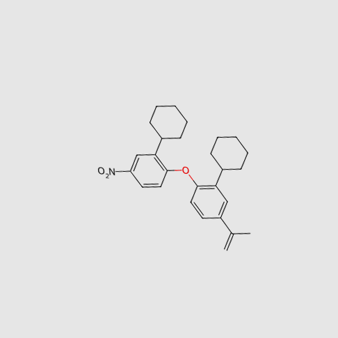 C=C(C)c1ccc(Oc2ccc([N+](=O)[O-])cc2C2CCCCC2)c(C2CCCCC2)c1